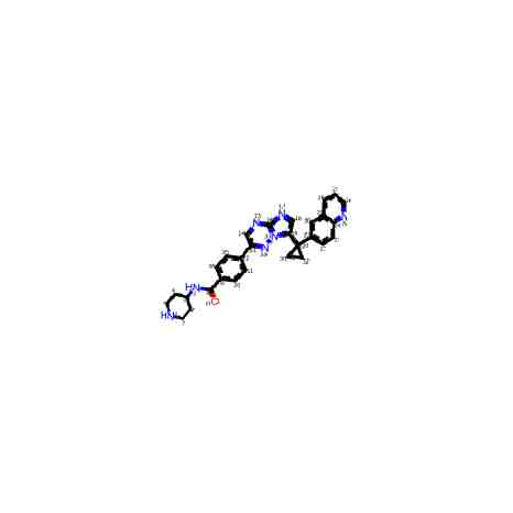 O=C(NC1CCNCC1)c1ccc(-c2cnc3ncc(C4(c5ccc6ncccc6c5)CC4)n3n2)cc1